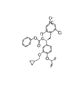 O=C(Oc1ccccc1)O[C@@H](Cc1c(Cl)c[n+]([O-])cc1Cl)c1ccc(OC(F)F)c(OCC2CC2)c1